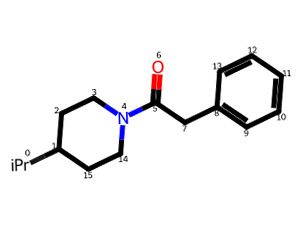 CC(C)C1CCN(C(=O)Cc2ccccc2)CC1